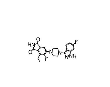 CCc1c(F)c(N2CCN(c3n[nH]c4cc(F)ccc34)CC2)cc2c1C(=O)NC2=O